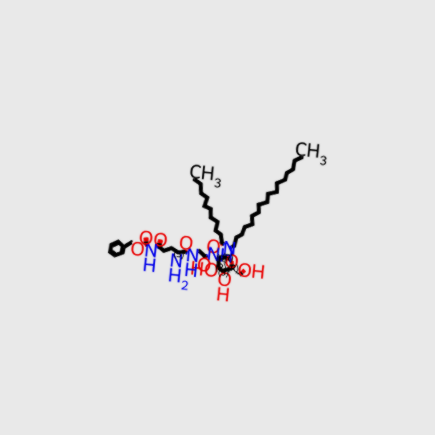 CCCCCCCCCCCCCCCCCCN(C(=O)CCCCCCCCCCC)[C@@H]1O[C@H](CO)[C@@H](O)[C@H](O)[C@H]1NC(=O)CNC(=O)[C@@H](N)CCC(=O)NC(=O)OCc1ccccc1